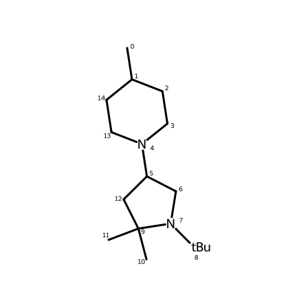 CC1CCN(C2CN(C(C)(C)C)C(C)(C)C2)CC1